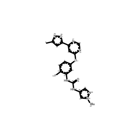 Cc1cc(-c2cc(Oc3ccc(F)c(NC(=O)Nc4cnn(C(C)(C)C)c4)c3)ncn2)on1